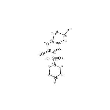 CN1CCN(S(=O)(=O)c2cc3cc(F)ccc3oc2=O)CC1